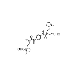 CCN(CC[C@H]1CCC(C)N1C=O)C(=O)Nc1ccc(NC(=O)N(CCC=O)CC[C@H]2CCCN2C)cc1